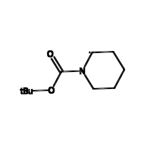 CC(C)(C)OC(=O)N1[CH]CCCC1